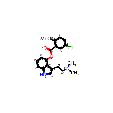 COc1ccc(Cl)cc1C(=O)Oc1cccc2[nH]cc(CCN(C)C)c12